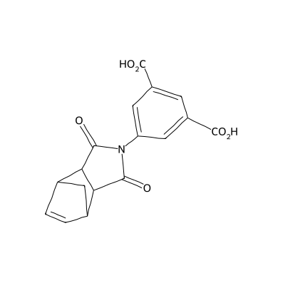 O=C(O)c1cc(C(=O)O)cc(N2C(=O)C3C4C=CC(C4)C3C2=O)c1